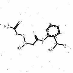 CC(=O)OON(C)CC(=S)Nc1ccccc1C(C)C